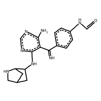 N=C(c1ccc(NC=O)cc1)c1c(N)ncnc1NC1CC2CNC1C2